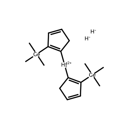 [CH3][Ge]([CH3])([CH3])[C]1=[C]([Hf+2][C]2=[C]([Ge]([CH3])([CH3])[CH3])C=CC2)CC=C1.[H-].[H-]